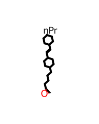 CCCC1CCC(/C=C/C2CCC(CCCCC3CO3)CC2)CC1